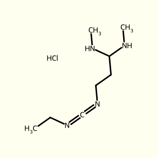 CCN=C=NCCC(NC)NC.Cl